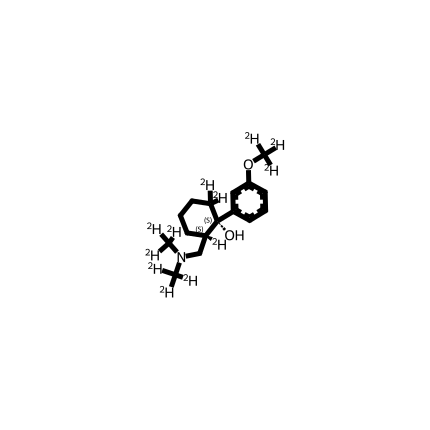 [2H]C([2H])([2H])Oc1cccc([C@]2(O)C([2H])([2H])CCC[C@@]2([2H])CN(C([2H])([2H])[2H])C([2H])([2H])[2H])c1